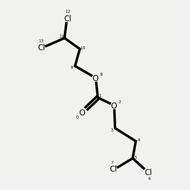 O=C(OCCC(Cl)Cl)OCCC(Cl)Cl